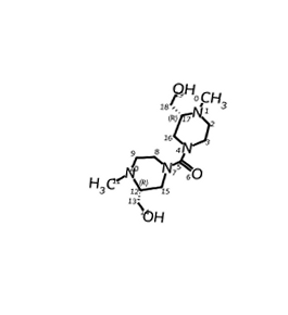 CN1CCN(C(=O)N2CCN(C)[C@@H](CO)C2)C[C@@H]1CO